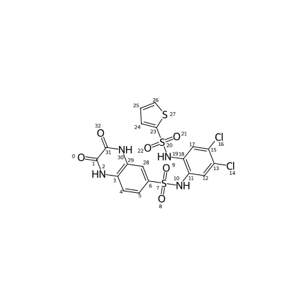 O=c1[nH]c2ccc(S(=O)(=O)Nc3cc(Cl)c(Cl)cc3NS(=O)(=O)c3cccs3)cc2[nH]c1=O